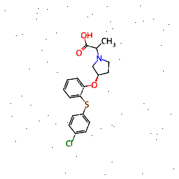 CC(C(=O)O)N1CC[C@@H](Oc2ccccc2Sc2ccc(Cl)cc2)C1